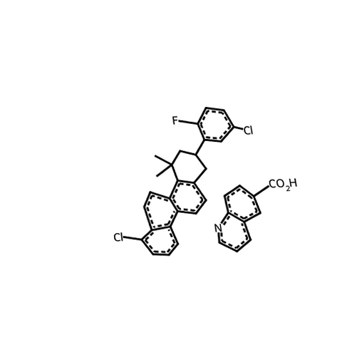 CC1(C)CC(c2cc(Cl)ccc2F)Cc2ccc3c(ccc4c(Cl)cccc43)c21.O=C(O)c1ccc2ncccc2c1